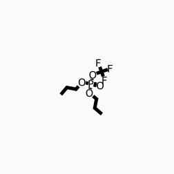 CCCOP(=O)(OCCC)OC(F)(F)F